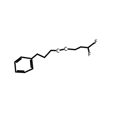 FC(F)CCCCCCCc1ccccc1